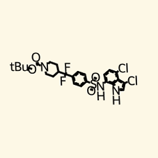 CC(C)(C)OC(=O)N1CCC(C(F)(F)c2ccc(S(=O)(=O)Nc3ccc(Cl)c4c(Cl)c[nH]c34)cc2)CC1